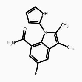 Cc1c(C)n(-c2ccc[nH]2)c2c(C(N)=O)cc(F)cc12